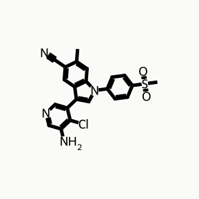 Cc1cc2c(cc1C#N)c(-c1cncc(N)c1Cl)cn2-c1ccc(S(C)(=O)=O)cc1